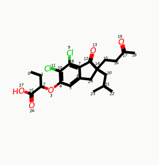 CCC(Oc1cc2c(c(Cl)c1Cl)C(=O)C(CCC(C)=O)(CC(C)C)C2)C(=O)O